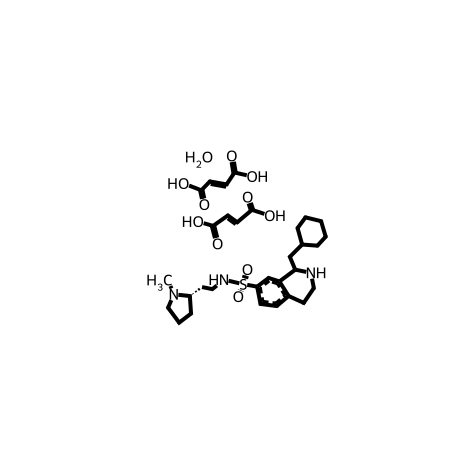 CN1CCC[C@H]1CCNS(=O)(=O)c1ccc2c(c1)C(CC1CCCCC1)NCC2.O.O=C(O)/C=C/C(=O)O.O=C(O)/C=C/C(=O)O